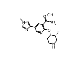 Cl.Cn1cnc(-c2cnc(O[C@H]3CCNC[C@H]3F)c(C(N)=O)c2)c1